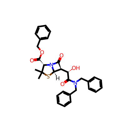 CC1(C)S[C@@H]2[C@H]([C@H](O)C(=O)N(Cc3ccccc3)Cc3ccccc3)C(=O)N2[C@H]1C(=O)OCc1ccccc1